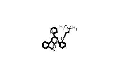 CN(C)CCCOc1ccccc1-n1cc(-c2ccccn2)cc(-c2ccccc2C#N)c1=O